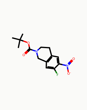 CC(C)(C)OC(=O)N1CCc2cc([N+](=O)[O-])c(F)cc2C1